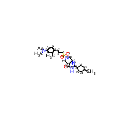 CC(=O)N(C)c1ccc(/C=C/CS(=O)(=O)N2CCC3(CC2)N=C(C2CCC(C)CC2)NC3=O)c(C)c1